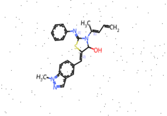 C=C/C=C(\C)N1/C(=N/c2ccccc2)S/C(=C\c2ccc3c(cnn3C)c2)C1O